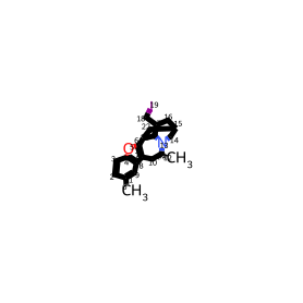 Cc1ccc2oc3c(c2c1)C[C@@H](C)N1CC2CC(CI)C1C3C2